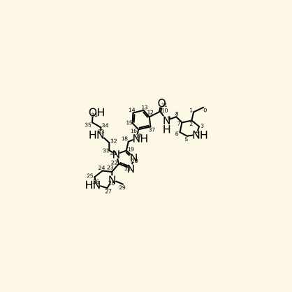 CCC1CNCCC1CNC(=O)c1cccc(NCc2nnc(C3CCNCN3C)n2CCNCCO)c1